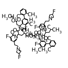 CCOC(=O)C[C@H](NC(=O)C(CC(C)C)n1cc(CCN2CC(F)C2)cc(F)c1=O)c1cc(-c2c(C)cccc2C)cc(C)c1F.Cc1cc(-c2c(C)cccc2C)cc([C@H](CC(=O)O)NC(=O)C(CC(C)C)n2cc(CCN3CC(F)C3)cc(F)c2=O)c1F